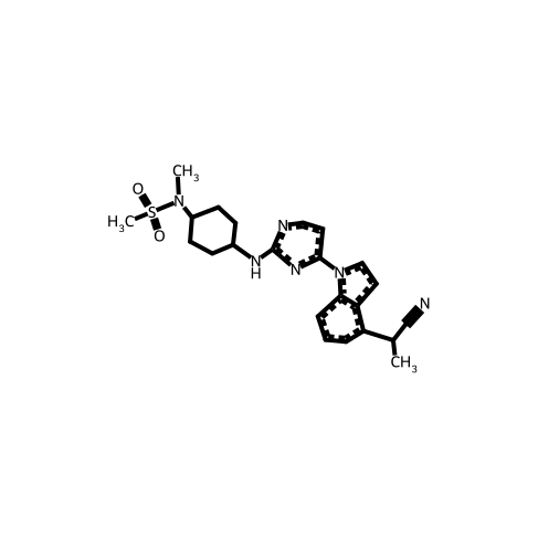 CC(C#N)c1cccc2c1ccn2-c1ccnc(NC2CCC(N(C)S(C)(=O)=O)CC2)n1